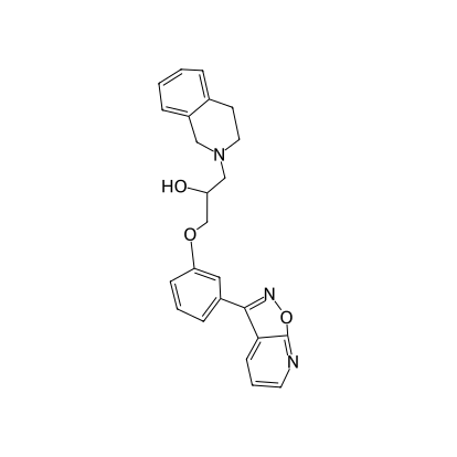 OC(COc1cccc(-c2noc3ncccc23)c1)CN1CCc2ccccc2C1